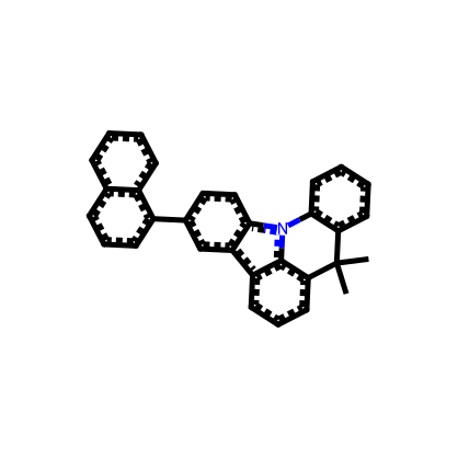 CC1(C)c2ccccc2-n2c3ccc(-c4cccc5ccccc45)cc3c3cccc1c32